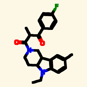 CCN1c2ccc(C)cc2C2CN(C(=O)C(C)C(=O)c3ccc(F)cc3)CCC21